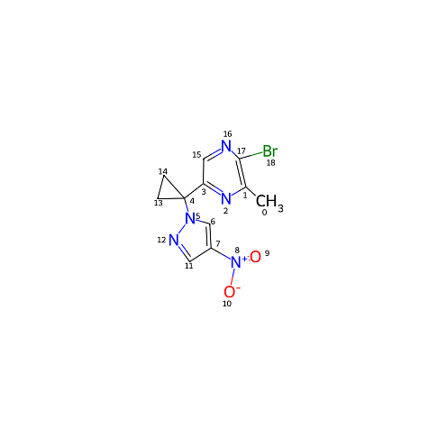 Cc1nc(C2(n3cc([N+](=O)[O-])cn3)CC2)cnc1Br